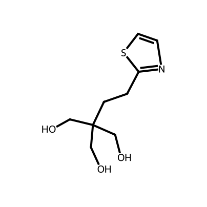 OCC(CO)(CO)CCc1nccs1